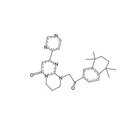 CC1(C)CCC(C)(C)c2cc(C(=O)CN3CCCn4c3nc(-c3ccncn3)cc4=O)ccc21